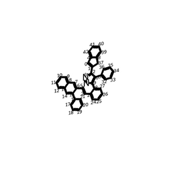 C1=C(c2nn3c(-c4cc5ccccc5cc4-c4ccccc4)cc4ccccc4c3c2-c2ccccc2)Cc2ccccc21